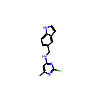 Cc1cc(NCc2ccc3[nH]ccc3c2)nc(Cl)n1